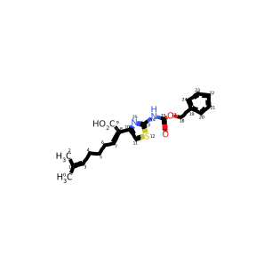 CC(C)=CCCCC=C(C(=O)O)c1csc(NC(=O)OCc2ccccc2)n1